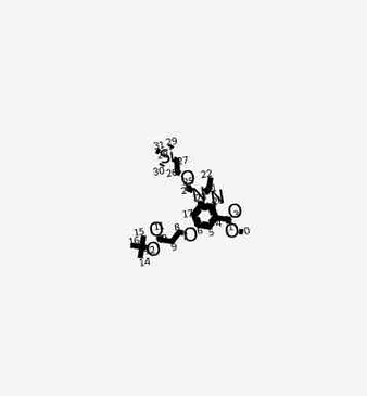 COC(=O)c1cc(OCCC(=O)OC(C)(C)C)cc2c1nc(C)n2COCC[Si](C)(C)C